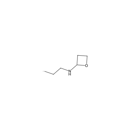 [CH2]CCNC1CCO1